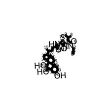 C#CCNC(=O)C1=C(C)CSC2C(NC(=O)CCC(C)C3CCC4C5C(O)C(O)C6CC(O)CCC6(C)C5CCC34C)C(=O)N12